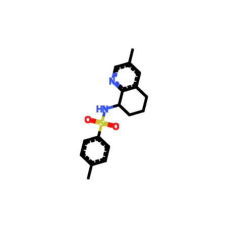 Cc1ccc(S(=O)(=O)NC2CCCc3cc(C)cnc32)cc1